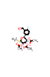 CS[C@H]1O[C@@H](c2ccc(F)c(CO)c2)[C@H](OC(C)=O)[C@@H](OC(C)=O)[C@@H]1OC(C)=O